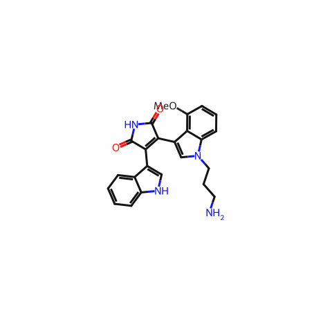 COc1cccc2c1c(C1=C(c3c[nH]c4ccccc34)C(=O)NC1=O)cn2CCCN